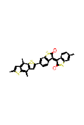 Cc1ccc2c(c1)SC(=O)/C2=C1/C(=O)Sc2cc(-c3cc4c(C)c5sc(C)cc5c(C)c4s3)ccc21